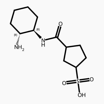 N[C@@H]1CCCC[C@H]1NC(=O)C1CCC(S(=O)(=O)O)C1